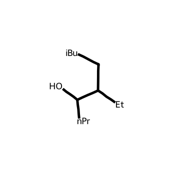 [CH2]C(CC)CC(CC)C(O)CCC